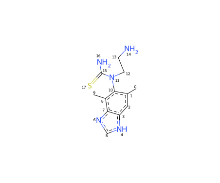 Cc1cc2[nH]cnc2c(C)c1N(CCN)C(N)=S